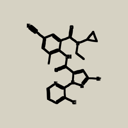 CCN(C(=O)c1cc(C#N)cc(C)c1NC(=O)c1cc(Br)nn1-c1ncccc1Cl)C1CC1